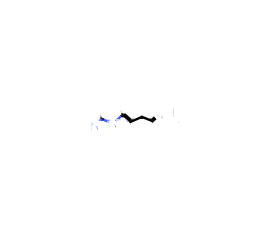 C=CC/C=C/NCN